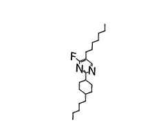 CCCCCCCc1cnc(C2CCC(CCCCC)CC2)nc1F